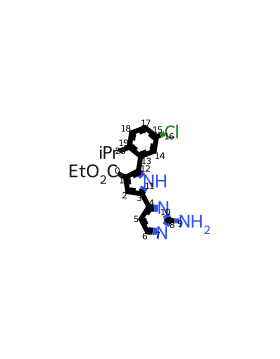 CCOC(=O)c1cc(-c2ccnc(N)n2)[nH]c1-c1cc(Cl)ccc1C(C)C